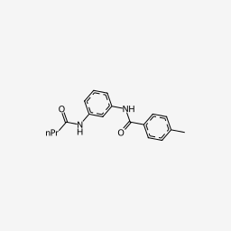 CCCC(=O)Nc1cccc(NC(=O)c2ccc(C)cc2)c1